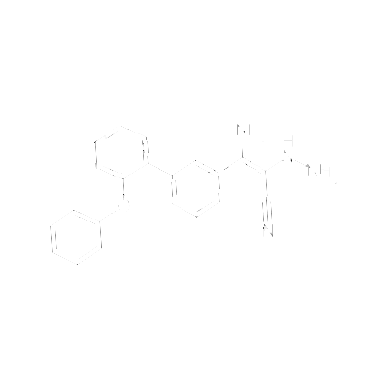 N#C/C(NN)=C(/N)c1cccc(-c2ccccc2Oc2ccccc2)c1